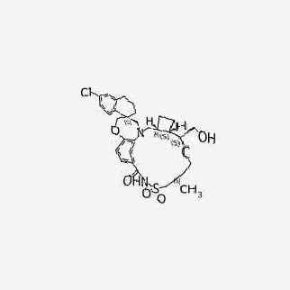 C[C@H]1CCC[C@H](CO)[C@H]2CC[C@H]2CN2C[C@@]3(CCCc4cc(Cl)ccc43)COc3ccc(cc32)C(=O)NS(=O)(=O)C1